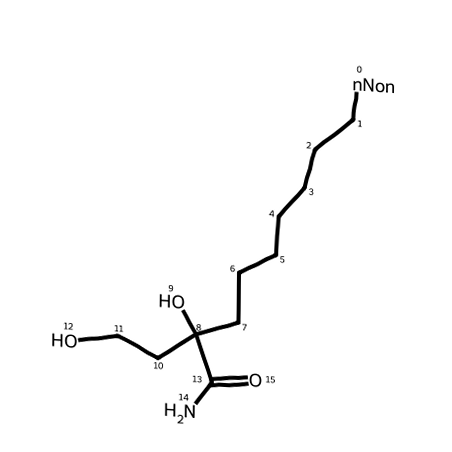 CCCCCCCCCCCCCCCCC(O)(CCO)C(N)=O